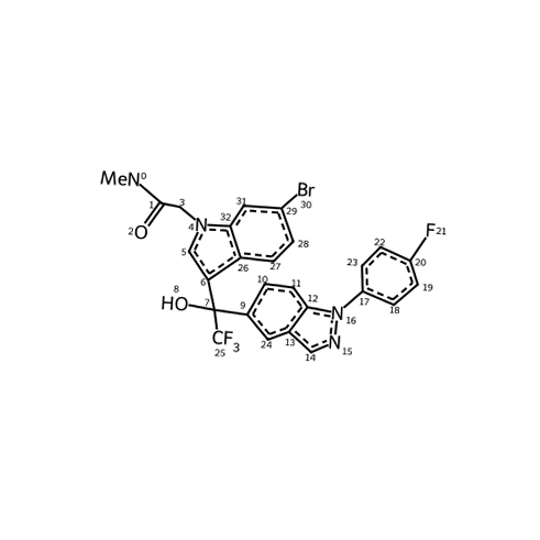 CNC(=O)Cn1cc(C(O)(c2ccc3c(cnn3-c3ccc(F)cc3)c2)C(F)(F)F)c2ccc(Br)cc21